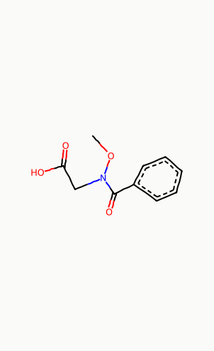 CON(CC(=O)O)C(=O)c1ccccc1